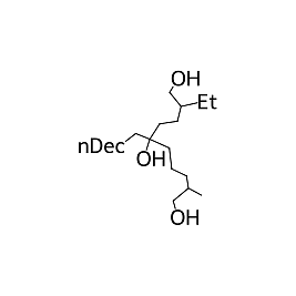 CCCCCCCCCCCC(O)(CCCC(C)CO)CCC(CC)CO